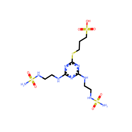 NS(=O)(=O)NCCNc1nc(NCCNS(N)(=O)=O)nc(SCCCS(=O)(=O)O)n1